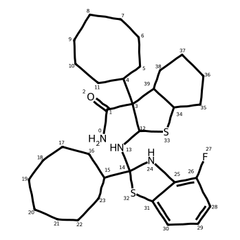 NC(=O)C1(C2CCCCCCC2)C(NC2(C3CCCCCCCC3)Nc3c(F)cccc3S2)SC2CCCCC21